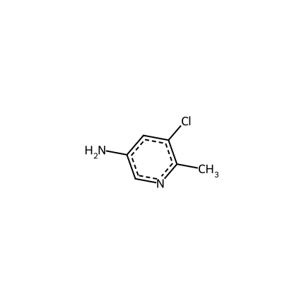 Cc1ncc(N)cc1Cl